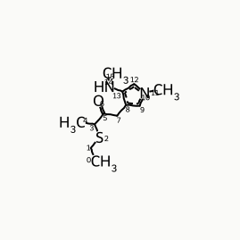 CCSC(C)C(=O)Cc1cn(C)cc1NC